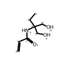 C=CC(=O)NC(CC)(CO)CO